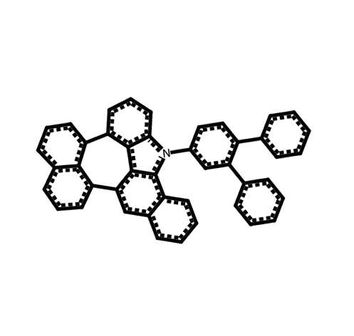 c1ccc(-c2ccc(-n3c4cccc5c4c4c(cc6ccccc6c43)-c3cccc4cccc-5c34)cc2-c2ccccc2)cc1